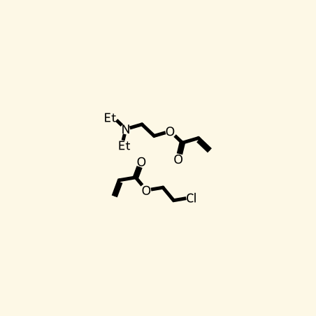 C=CC(=O)OCCCl.C=CC(=O)OCCN(CC)CC